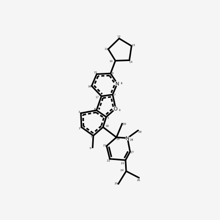 Cc1ccc2c(oc3nc(C4CCCC4)ccc32)c1C1(C)C=CC(C(C)C)=CN1C